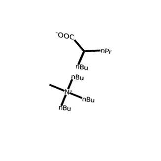 CCCCC(CCC)C(=O)[O-].CCCC[N+](C)(CCCC)CCCC